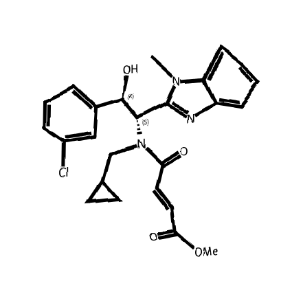 COC(=O)C=CC(=O)N(CC1CC1)[C@@H](c1nc2ccccc2n1C)[C@H](O)c1cccc(Cl)c1